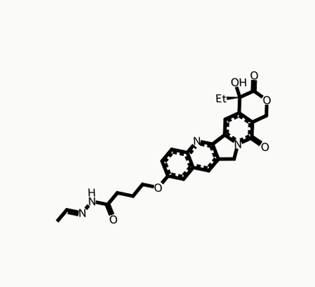 C/C=N/NC(=O)CCCOc1ccc2nc3c(cc2c1)Cn1c-3cc2c(c1=O)COC(=O)[C@]2(O)CC